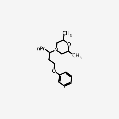 CCCC(CCOc1c[c]ccc1)N1CC(C)OC(C)C1